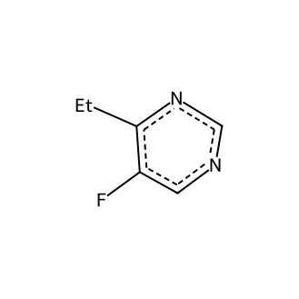 CCc1ncncc1F